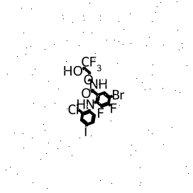 O=C(NOCC(O)C(F)(F)F)c1cc(Br)c(F)c(F)c1Nc1ccc(I)cc1Cl